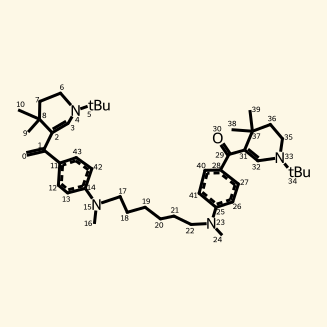 C=C(C1=CN(C(C)(C)C)CCC1(C)C)c1ccc(N(C)CCCCCCN(C)c2ccc(C(=O)C3=CN(C(C)(C)C)CCC3(C)C)cc2)cc1